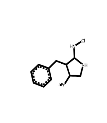 CCCC1CNC(NCl)C1Cc1ccccc1